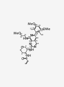 C=CC(=O)N[C@H]1CCOC[C@H]1Nc1ncc2cc(-c3c(C)c(OC)cc(OC)c3C)nc(NCCOC)c2n1